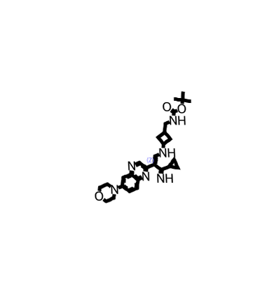 CC(C)(C)OC(=O)NCC1CC(N/C=C(\C(=N)C2CC2)c2cnc3cc(N4CCOCC4)ccc3n2)C1